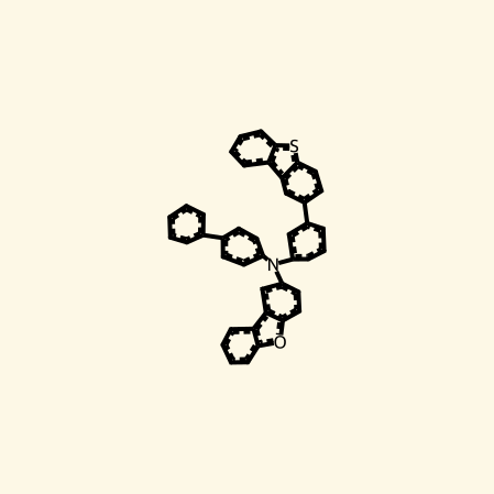 c1ccc(-c2ccc(N(c3cccc(-c4ccc5sc6ccccc6c5c4)c3)c3ccc4oc5ccccc5c4c3)cc2)cc1